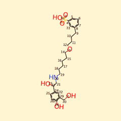 O=S(=O)(O)c1cccc(CCCCOCCCCCCNCC(O)c2ccc(O)c(CO)c2)c1